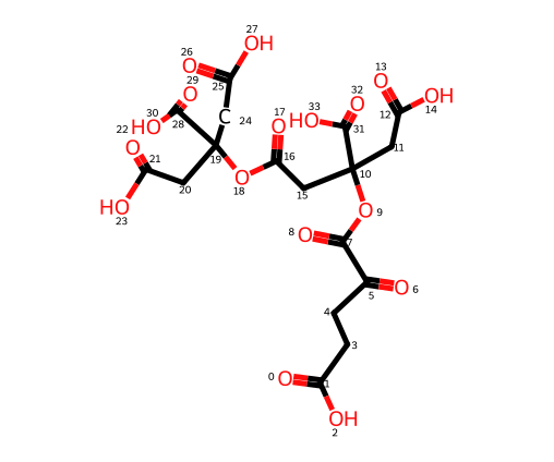 O=C(O)CCC(=O)C(=O)OC(CC(=O)O)(CC(=O)OC(CC(=O)O)(CC(=O)O)C(=O)O)C(=O)O